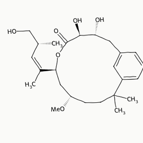 CO[C@H]1CCC(C)(C)c2cccc(c2)C[C@@H](O)[C@H](O)C(=O)O[C@H](/C(C)=C\[C@@H](C)CO)C1